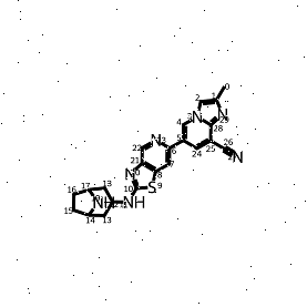 Cc1cn2cc(-c3cc4sc(NC5CC6CCC(C5)N6)nc4cn3)cc(C#N)c2n1